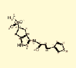 CS(=O)(=O)N1Cc2[nH]nc(NC(=O)C=Cc3ccsc3)c2C1